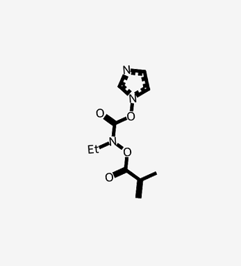 C=C(C)C(=O)ON(CC)C(=O)On1ccnc1